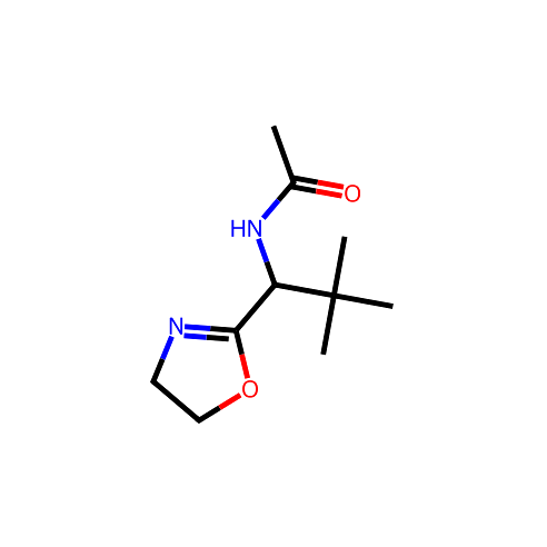 CC(=O)NC(C1=NCCO1)C(C)(C)C